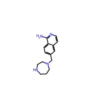 Nc1nccc2cc(CN3CCCNCC3)ccc12